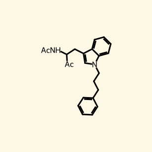 CC(=O)NC(Cc1cn(CCCc2ccccc2)c2ccccc12)C(C)=O